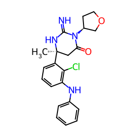 C[C@@]1(c2cccc(Nc3ccccc3)c2Cl)CC(=O)N([C@H]2CCOC2)C(=N)N1